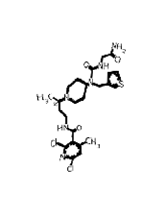 Cc1cc(Cl)nc(Cl)c1C(=O)NCC[C@@H](C)N1CCC(N(Cc2ccsc2)C(=O)NCC(N)=O)CC1